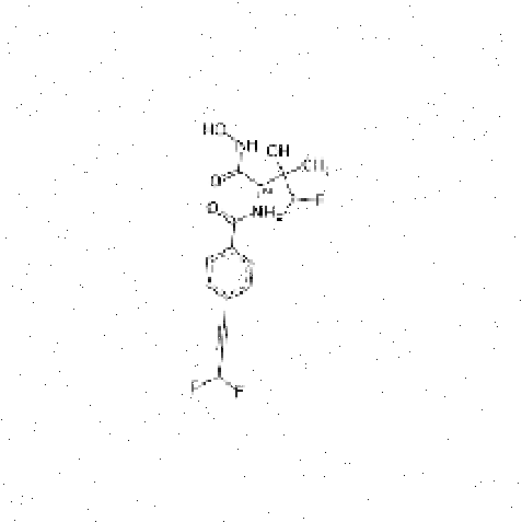 CC(O)(C(F)F)[C@H](NC(=O)c1ccc(C#CC(F)F)cc1)C(=O)NO